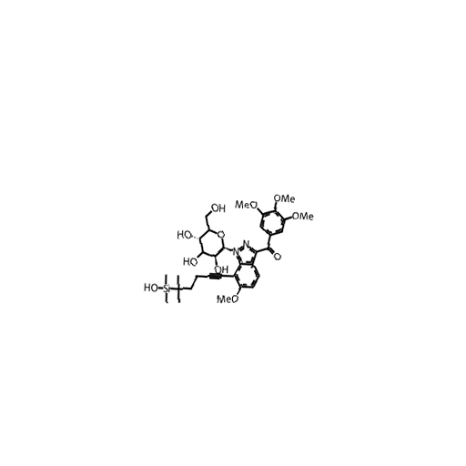 COc1cc(C(=O)c2nn([C@@H]3OC(CO)[C@@H](O)C(O)[C@@H]3O)c3c(C#CCCC(C)(C)[Si](C)(C)O)c(OC)ccc23)cc(OC)c1OC